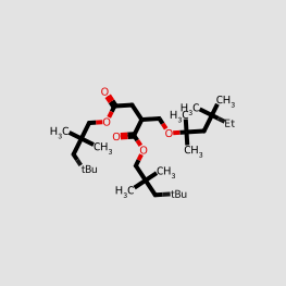 CCC(C)(C)CC(C)(C)OCC(CC(=O)OCC(C)(C)CC(C)(C)C)C(=O)OCC(C)(C)CC(C)(C)C